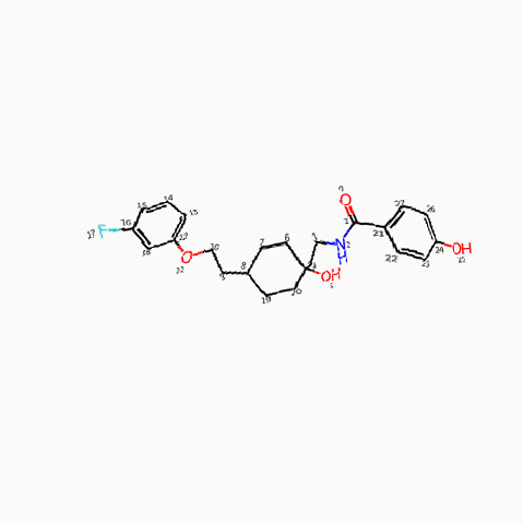 O=C(NCC1(O)CCC(CCOc2cccc(F)c2)CC1)c1ccc(O)cc1